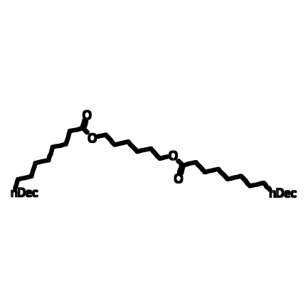 CCCCCCCCCCCCCCCCCC(=O)OCCCCCCOC(=O)CCCCCCCCCCCCCCCCC